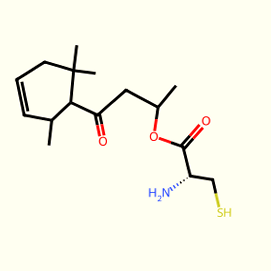 CC(CC(=O)C1C(C)C=CCC1(C)C)OC(=O)[C@@H](N)CS